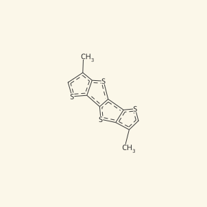 Cc1csc2c1sc1c3scc(C)c3sc21